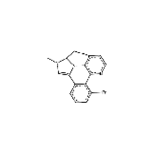 CC(C)c1cccc2c1-c1nccc3c1N1C2=CN(C)C1C3